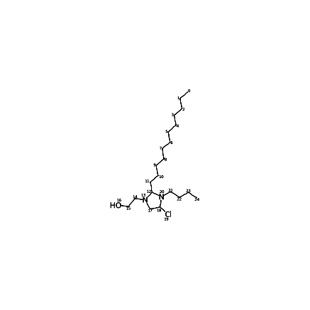 CCCCCCCCCCCCC1N(CCO)CC(Cl)N1CCCC